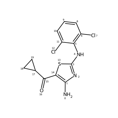 Nc1nc(Nc2c(Cl)cccc2Cl)sc1C(=O)C1CC1